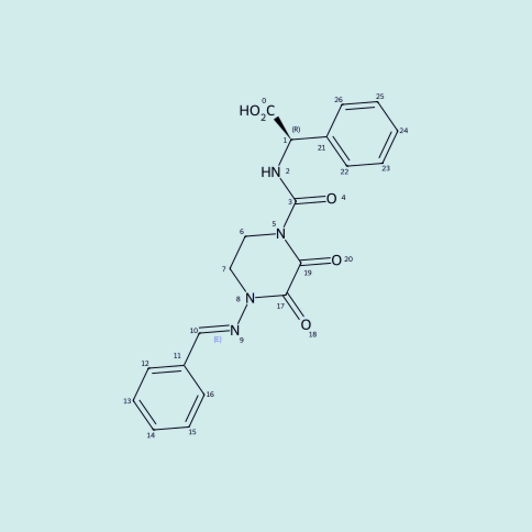 O=C(O)[C@H](NC(=O)N1CCN(/N=C/c2ccccc2)C(=O)C1=O)c1ccccc1